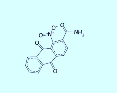 NC(=O)c1ccc2c(c1[N+](=O)[O-])C(=O)c1ccccc1C2=O